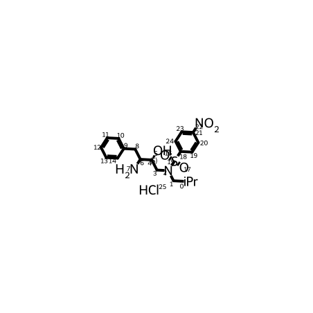 CC(C)CN(C[C@H](O)C(N)Cc1ccccc1)S(=O)(=O)c1ccc([N+](=O)[O-])cc1.Cl